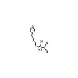 CN1C=CC(=C=CC=CC=CC2=C(C#N)C(=C(C#N)C#N)OC2(C)C)C=C1